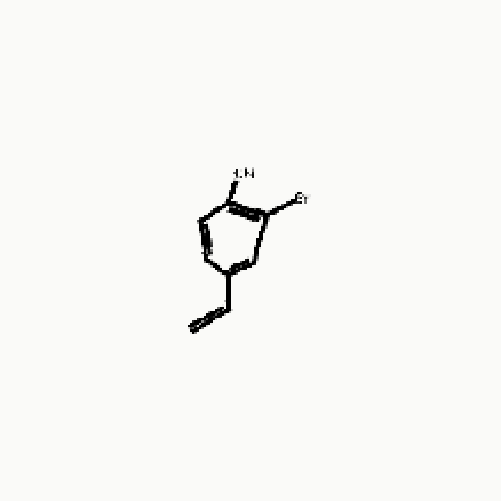 C=[C]c1ccc(C#N)c(Br)c1